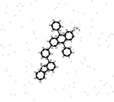 Cc1ccc2c(-c3ccccc3)c3cc(-c4cccc(-c5cccc6c5sc5ccccc56)c4)ccc3c(-c3ccccc3)c2c1